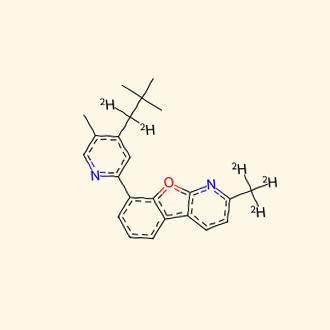 [2H]C([2H])([2H])c1ccc2c(n1)oc1c(-c3cc(C([2H])([2H])C(C)(C)C)c(C)cn3)cccc12